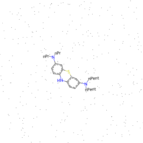 CCCCCN(CCCCC)c1ccc2c(c1)Sc1cc(N(CCC)CCC)ccc1N2